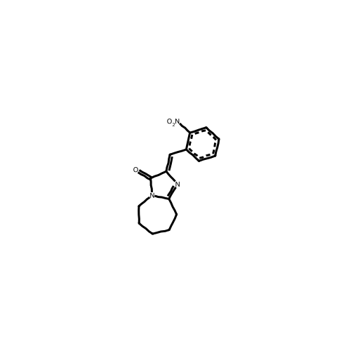 O=C1C(=Cc2ccccc2[N+](=O)[O-])N=C2CCCCCN12